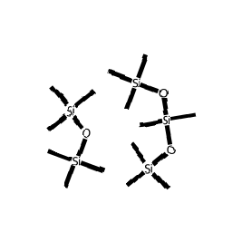 C[Si](C)(C)O[Si](C)(C)C.C[Si](C)(C)O[Si](C)(C)O[Si](C)(C)C